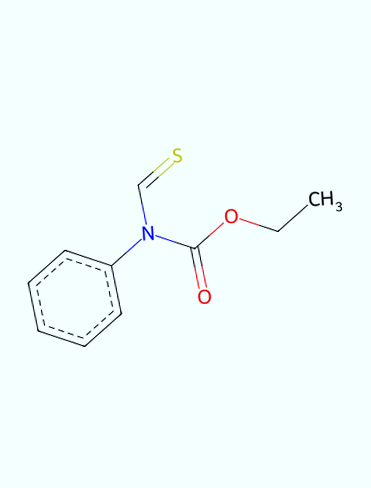 CCOC(=O)N(C=S)c1ccccc1